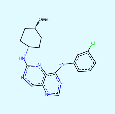 CO[C@H]1CC[C@H](Nc2ncc3ncnc(Nc4cccc(Cl)c4)c3n2)CC1